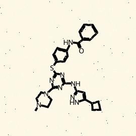 CN1CCN(c2nc(Nc3cc(C4CCC4)[nH]n3)nc(Sc3ccc(NC(=O)c4ccccc4)cc3)n2)CC1